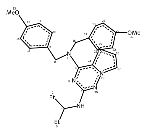 CCC(CC)Nc1nc(N(Cc2ccc(OC)cc2)Cc2ccc(OC)cc2)c2nccn2n1